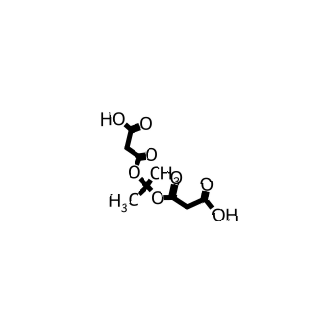 CC(C)(OC(=O)CC(=O)O)OC(=O)CC(=O)O